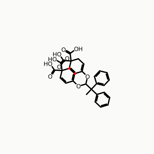 CC(c1ccccc1)(c1ccccc1)C(OC1=CCC(C(=O)O)(C(=O)O)C=C1)OC1=CCC(C(=O)O)(C(=O)O)C=C1